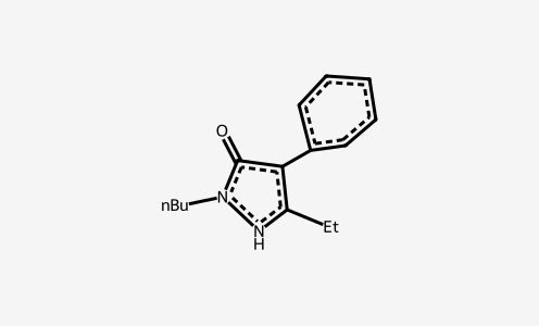 CCCCn1[nH]c(CC)c(-c2ccccc2)c1=O